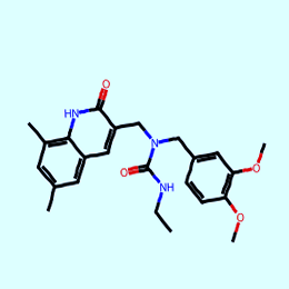 CCNC(=O)N(Cc1ccc(OC)c(OC)c1)Cc1cc2cc(C)cc(C)c2[nH]c1=O